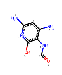 Nc1cc(N)c(NC=O)c(O)n1